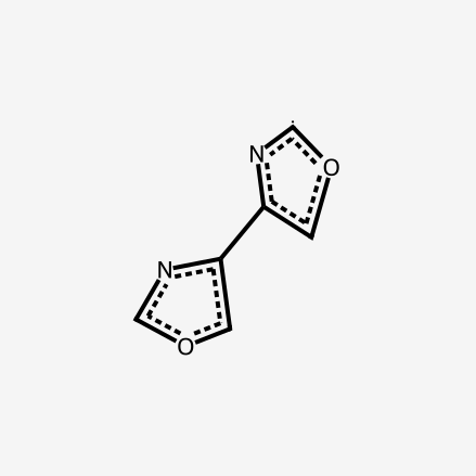 [c]1nc(-c2cocn2)co1